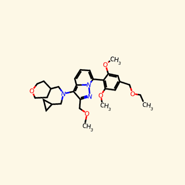 CCOCc1cc(OC)c(-c2cccc3c(N(CC4CCOCC4)CC4CC4)c(COC)nn23)c(OC)c1